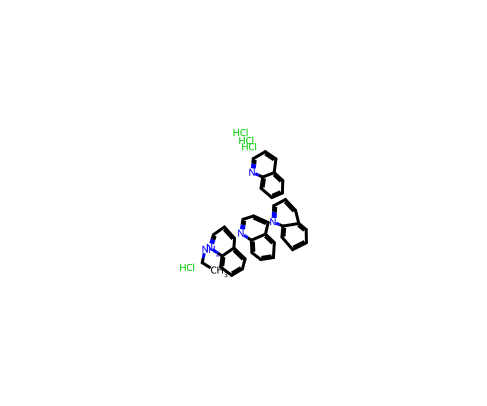 CCN.Cl.Cl.Cl.Cl.c1ccc2ncccc2c1.c1ccc2ncccc2c1.c1ccc2ncccc2c1.c1ccc2ncccc2c1